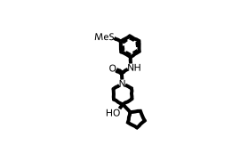 CSc1cccc(NC(=O)N2CCC(O)(C3CCCC3)CC2)c1